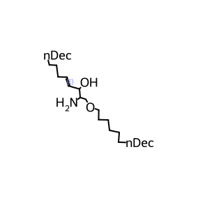 CCCCCCCCCCCCC/C=C/C(O)C(N)COCCCCCCCCCCCCCCCC